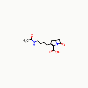 CC(=O)NCCCCC1=C(C(=O)O)N2C(=O)CC2C1